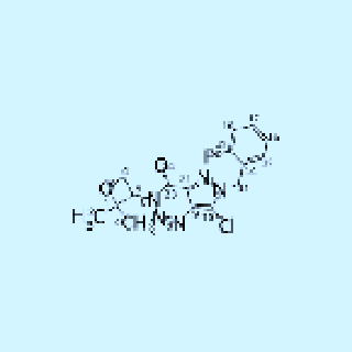 CC1(C)OCC1n1nnc2c(Cl)n(Cc3ccccc3F)nc2c1=O